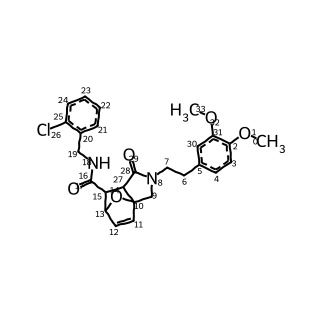 COc1ccc(CCN2CC34C=CC(O3)C(C(=O)NCc3ccccc3Cl)C4C2=O)cc1OC